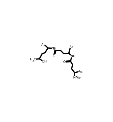 CNC(CCC(=O)NC(CCC(=O)NC(CCC(C)O)C(C)=O)C(C)=O)C(C)=O